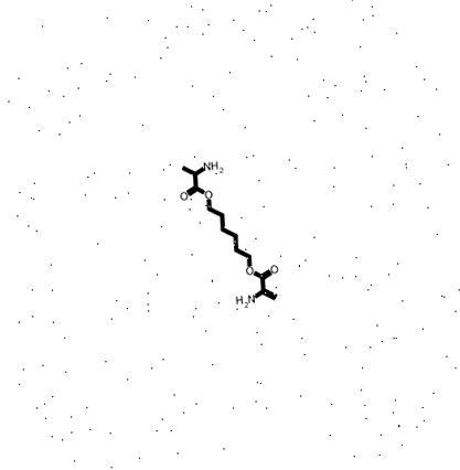 C=C(N)C(=O)OCCCCCCOC(=O)C(C)N